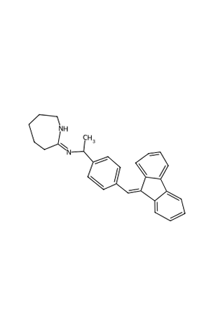 CC(/N=C1/CCCCCN1)c1ccc(C=C2c3ccccc3-c3ccccc32)cc1